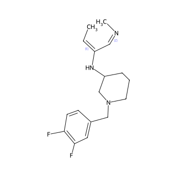 C/C=C(\C=N/C)NC1CCCN(Cc2ccc(F)c(F)c2)C1